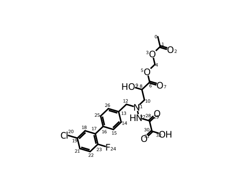 CC(=O)OCOC(=O)C(O)CN(Cc1ccc(-c2cc(Cl)ccc2F)cc1)NC(=O)C(=O)O